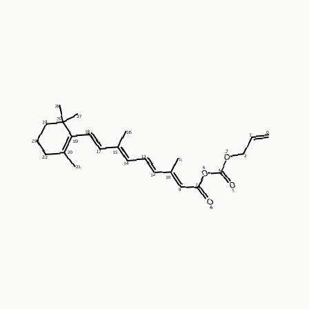 C=CCOC(=O)OC(=O)/C=C(C)/C=C/C=C(C)/C=C/C1=C(C)CCCC1(C)C